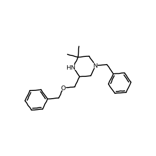 CC1(C)CN(Cc2ccccc2)CC(COCc2ccccc2)N1